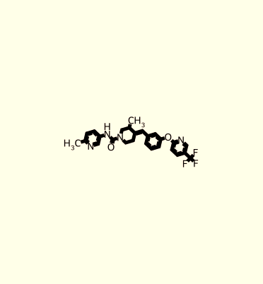 Cc1ccc(NC(=O)N2CCC(=Cc3cccc(Oc4ccc(C(F)(F)F)cn4)c3)C(C)C2)cn1